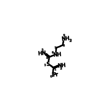 CC(C)C(=N)SC(=N)NCCN